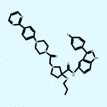 CCCOC1(C(=O)Nc2ccc3[nH]nc(-c4ccc(F)cc4)c3c2)CCN(CC(=O)N2CCN(c3ccc(-c4ncccn4)cc3)CC2)C1